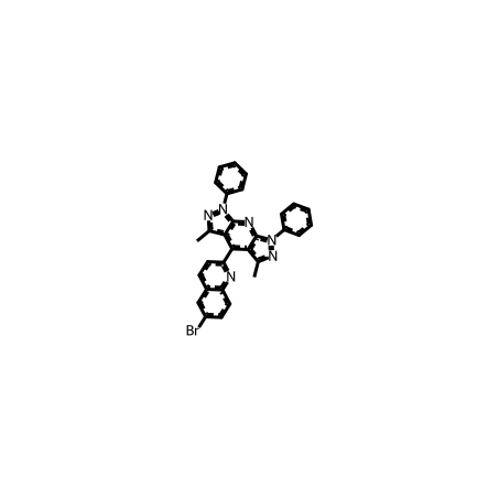 Cc1nn(-c2ccccc2)c2nc3c(c(C)nn3-c3ccccc3)c(-c3ccc4cc(Br)ccc4n3)c12